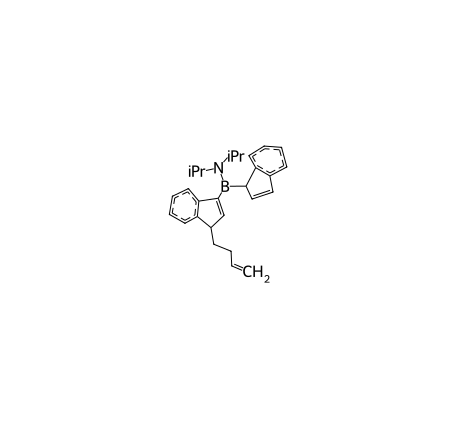 C=CCCC1C=C(B(C2C=Cc3ccccc32)N(C(C)C)C(C)C)c2ccccc21